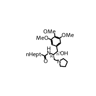 CCCCCCCC(=O)N[C@H](CN1CCCC1)[C@@H](O)c1cc(OC)c(OC)c(OC)c1